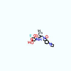 C[C@@H](CC(=O)NC(CC(=O)O)C(=O)CF)CN1Cc2ccc(N3CCCC3)cc2C1=O